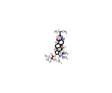 CC(C)C1=N[C@H]2CCC34C[C@]35C(=O)C[C@]3(C)[C@@H]([C@H](C)N(C)C)[C@H](OC(=O)C(C)(C)C)C[C@@]3(C)[C@@H]5CC[C@H]4[C@]2(C)CO1